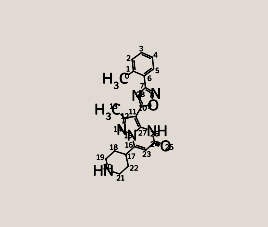 Cc1ccccc1-c1noc(-c2c(C)nn3c(C4CCNCC4)cc(=O)[nH]c23)n1